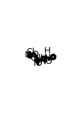 Cc1nc(-c2onc(C)c2NC(=O)O[C@@H](C)c2cccnc2Cl)ccc1NC(=O)C1CCCCC1